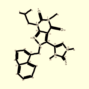 CC(C)Cn1c(=O)n(C)c(=O)c2c(-c3cn(C)c(=S)n3C)n(Cc3cccc4ccccc34)nc21